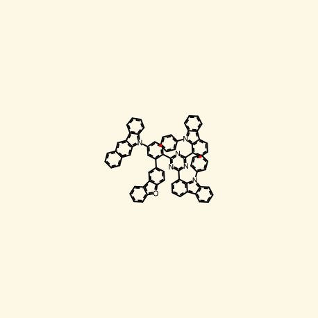 c1ccc(-n2c3ccccc3c3cccc(-c4nc(-c5ccc(-n6c7ccccc7c7cc8ccccc8cc76)cc5-c5ccc6oc7ccccc7c6c5)nc(-c5cccc6c7ccccc7n(-c7ccccc7)c56)n4)c32)cc1